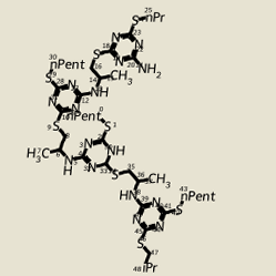 CCCCCSC1=NC(NC(C)CSc2nc(NC(C)CSc3nc(N)nc(SCCC)n3)nc(SCCCCC)n2)=NC(SCC(C)Nc2nc(SCCCCC)nc(SCC(C)C)n2)N1